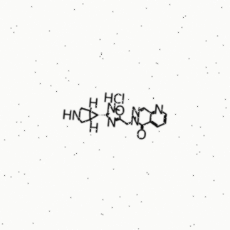 Cl.O=c1c2cccnc2cnn1Cc1nc([C@@H]2[C@@H]3CNC[C@@H]32)no1